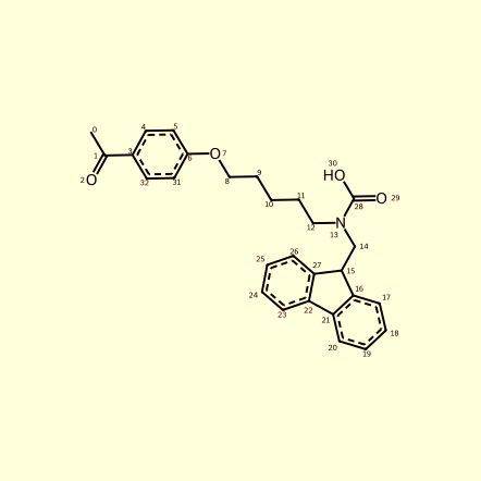 CC(=O)c1ccc(OCCCCCN(CC2c3ccccc3-c3ccccc32)C(=O)O)cc1